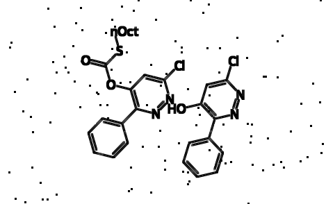 CCCCCCCCSC(=O)Oc1cc(Cl)nnc1-c1ccccc1.Oc1cc(Cl)nnc1-c1ccccc1